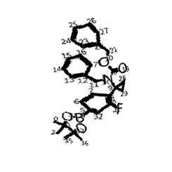 CC1(C)OB(c2ccc(C3(N(Cc4ccccc4)C(=O)OCc4ccccc4)CC3)c(F)c2)OC1(C)C